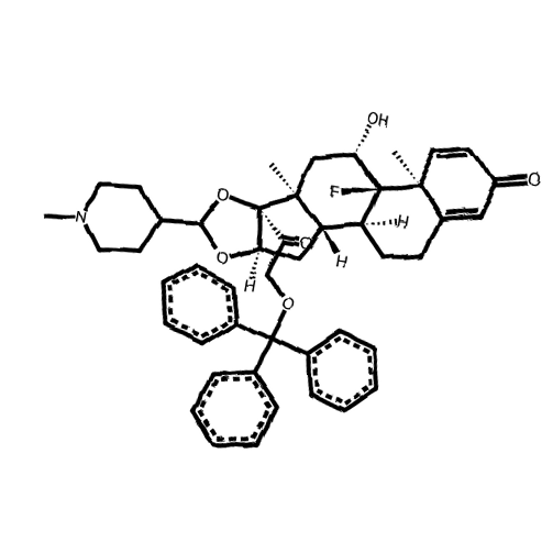 CN1CCC(C2O[C@@H]3C[C@H]4[C@@H]5CCC6=CC(=O)C=C[C@]6(C)[C@@]5(F)[C@@H](O)C[C@]4(C)[C@]3(C(=O)COC(c3ccccc3)(c3ccccc3)c3ccccc3)O2)CC1